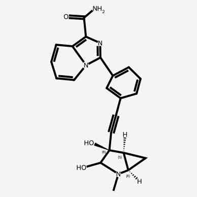 CN1C(O)[C@](O)(C#Cc2cccc(-c3nc(C(N)=O)c4ccccn34)c2)[C@H]2C[C@H]21